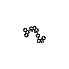 c1ccc2c(c1)cc(-c1ccc3ccc4ccc(-c5ccc(-c6cccc7oc8ccccc8c67)cc5)nc4c3n1)c1ccccc12